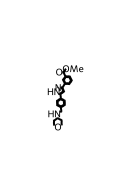 COC(=O)c1cccc(-c2cc(-c3ccc(CNC4CCOCC4)cc3)[nH]n2)c1